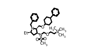 CC[C@@H]1C[C@H](N(COCC[Si](C)(C)C)S(C)(=O)=O)[C@H](COC2CCC(c3ccccc3)CC2)N1Cc1ccccc1